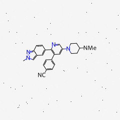 CNC1CCN(c2cnc(-c3ccc4nn(C)cc4c3)c(-c3ccc(C#N)cc3)c2)CC1